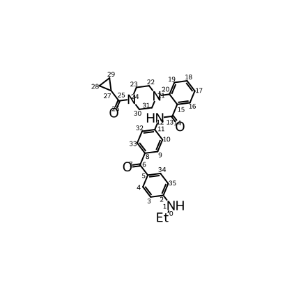 CCNc1ccc(C(=O)c2ccc(NC(=O)c3ccccc3N3CCN(C(=O)C4CC4)CC3)cc2)cc1